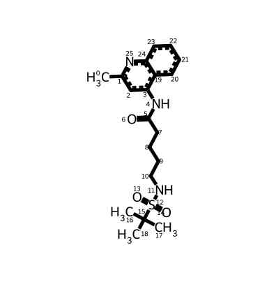 Cc1cc(NC(=O)CCCCNS(=O)(=O)C(C)(C)C)c2ccccc2n1